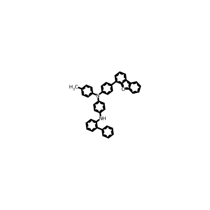 Cc1ccc(N(c2ccc(Nc3ccccc3-c3ccccc3)cc2)c2ccc(-c3cccc4c3oc3ccccc34)cc2)cc1